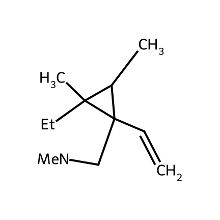 C=CC1(CNC)C(C)C1(C)CC